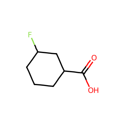 O=C(O)C1CCCC(F)C1